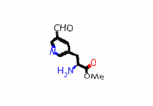 COC(=O)[C@@H](N)Cc1cncc(C=O)c1